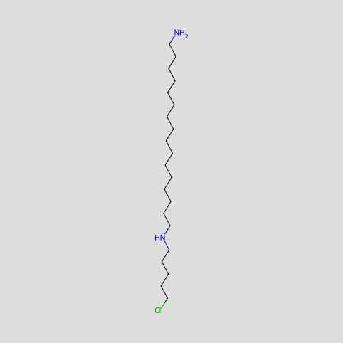 NCCCCCCCCCCCCCCCCNCCCCCCl